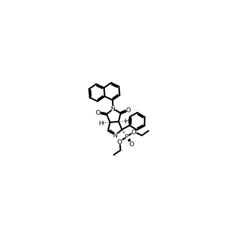 CCOP(=O)(OCC)[C@]1(c2ccccc2)N=C[C@H]2C(=O)N(c3cccc4ccccc34)C(=O)[C@H]21